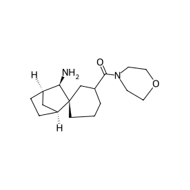 N[C@@H]1[C@@H]2CC[C@@H](C2)[C@]12CCCC(C(=O)N1CCOCC1)C2